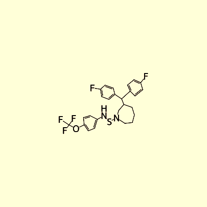 Fc1ccc(C(c2ccc(F)cc2)C2CCCCN(SNc3ccc(OC(F)(F)F)cc3)C2)cc1